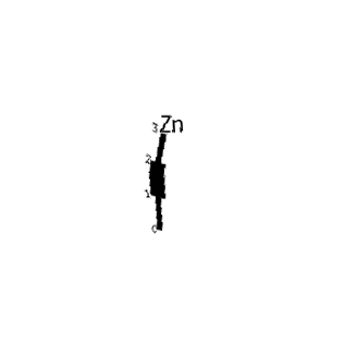 CC#[C][Zn]